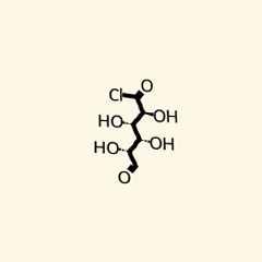 O=C[C@H](O)[C@@H](O)[C@H](O)[C@H](O)C(=O)Cl